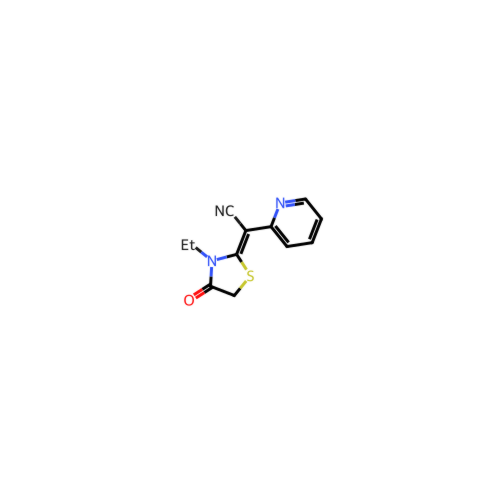 CCN1C(=O)CSC1=C(C#N)c1ccccn1